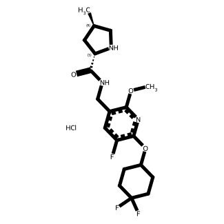 COc1nc(OC2CCC(F)(F)CC2)c(F)cc1CNC(=O)[C@@H]1C[C@@H](C)CN1.Cl